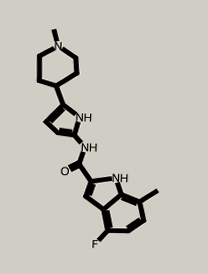 Cc1ccc(F)c2cc(C(=O)Nc3ccc(C4CCN(C)CC4)[nH]3)[nH]c12